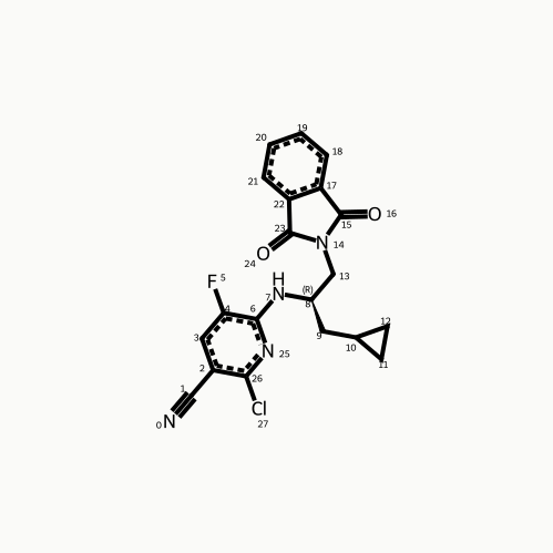 N#Cc1cc(F)c(N[C@H](CC2CC2)CN2C(=O)c3ccccc3C2=O)nc1Cl